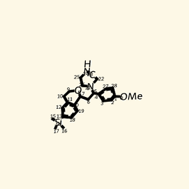 COc1ccc(C(CC2OCCc3cc([Si](C)(C)C)ccc32)N2CCNCC2)cc1